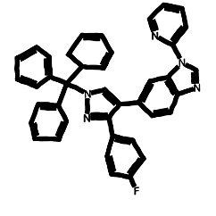 Fc1ccc(-c2nn(C(c3ccccc3)(c3ccccc3)C3C=CC=CC3)cc2-c2ccc3ncn(-c4ccccn4)c3c2)cc1